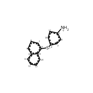 Nc1ccc(Sc2cccc3ccccc23)cc1